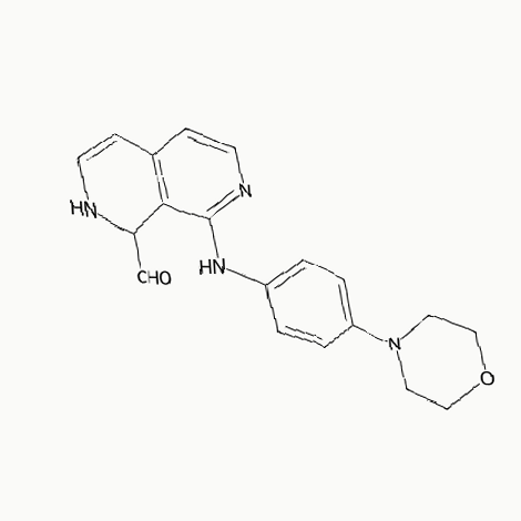 O=CC1NC=Cc2ccnc(Nc3ccc(N4CCOCC4)cc3)c21